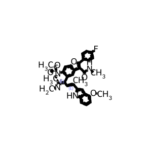 C=N/N=C(\C=C(/C)c1cc2c(OC)cccc2[nH]1)c1cc2c(C(=O)NC)c(-c3ccc(F)cc3)oc2cc1N(C)S(C)(=O)=O